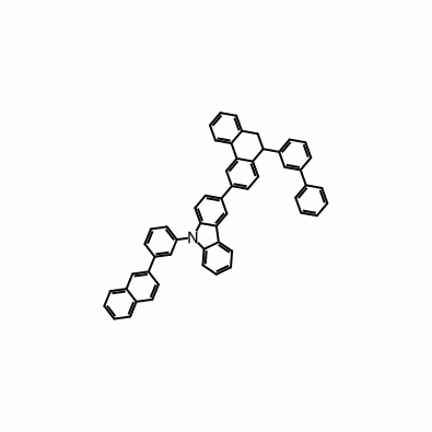 c1ccc(-c2cccc(C3Cc4ccccc4-c4cc(-c5ccc6c(c5)c5ccccc5n6-c5cccc(-c6ccc7ccccc7c6)c5)ccc43)c2)cc1